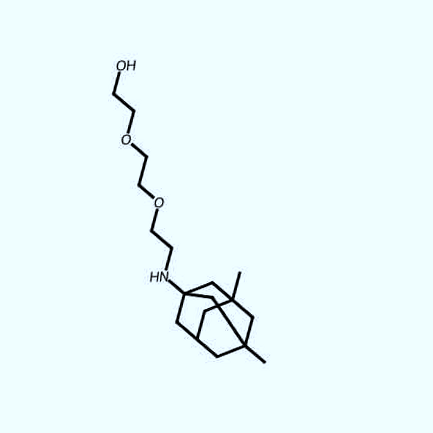 CC12CC3CC(C)(C1)CC(NCCOCCOCCO)(C3)C2